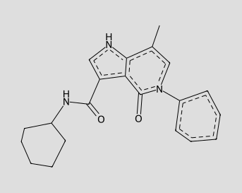 Cc1cn(-c2ccccc2)c(=O)c2c(C(=O)NC3CCCCC3)c[nH]c12